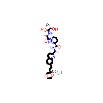 CC(C)[C@H](O)C(O)N[C@@H](C)C(=O)N1CCC[C@@H](C(=O)N[C@H](C)c2ccc3ccc(/C=C/C4(C(=O)O)COCCO4)cc3n2)N1